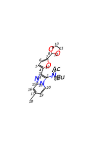 CC(=O)N(c1c(-c2ccc(C3OCCO3)o2)nc2cc(C)ccn12)C(C)(C)C